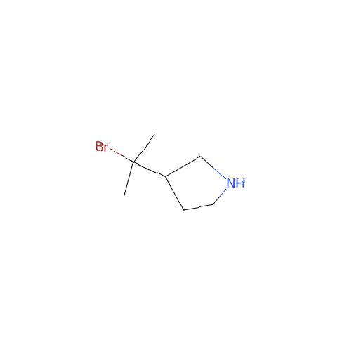 CC(C)(Br)C1CCNC1